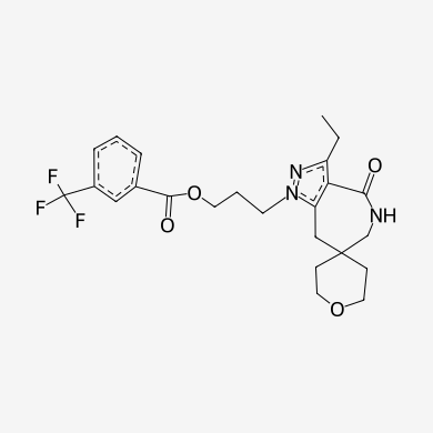 CCc1nn(CCCOC(=O)c2cccc(C(F)(F)F)c2)c2c1C(=O)NCC1(CCOCC1)C2